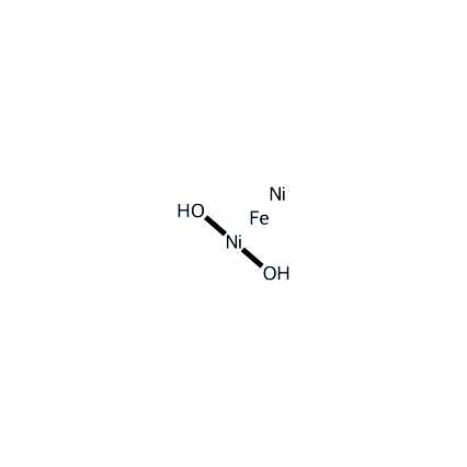 [Fe].[Ni].[OH][Ni][OH]